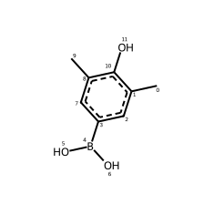 Cc1cc(B(O)O)cc(C)c1O